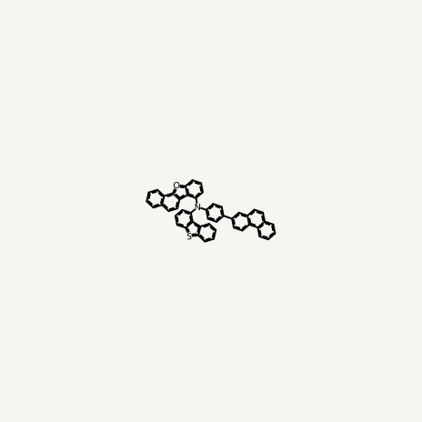 c1ccc2c(c1)ccc1cc(-c3ccc(N(c4cccc5oc6c7ccccc7ccc6c45)c4cccc5sc6ccccc6c45)cc3)ccc12